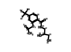 CC(=O)Oc1cc(C(F)(F)F)ccc1C(=O)NCC(O)CO